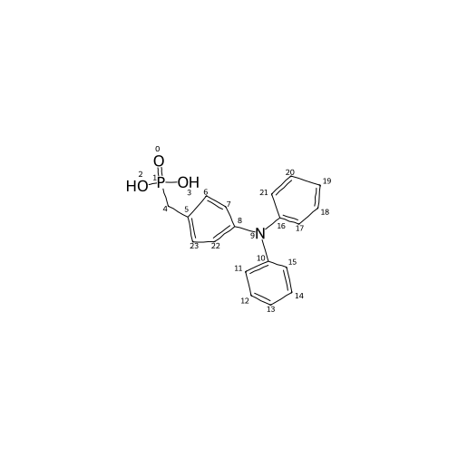 O=P(O)(O)Cc1ccc(N(c2ccccc2)c2ccccc2)cc1